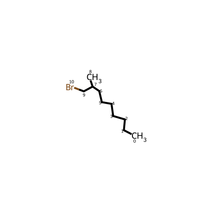 CCCCCCCC(C)CBr